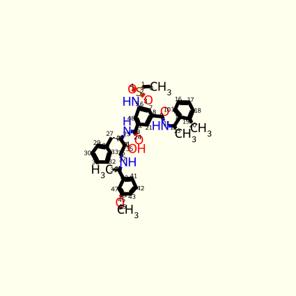 CCS(=O)(=O)Nc1cc(C(=O)NC(C)c2ccccc2C)cc(C(=O)N[C@@H](Cc2ccccc2)[C@H](O)CN[C@H](C)c2cccc(OC)c2)c1